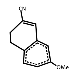 COc1ccc2c(c1)C=C(C#N)CC2